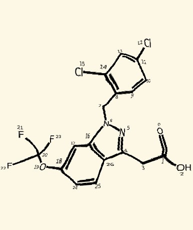 O=C(O)Cc1nn(Cc2ccc(Cl)cc2Cl)c2cc(OC(F)(F)F)ccc12